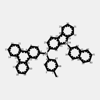 Cc1ccc(N(c2ccc3c4ccccc4c4ccccc4c3c2)c2ccc3c4ccccc4n(-c4ccc5ccccc5c4)c3c2)cc1